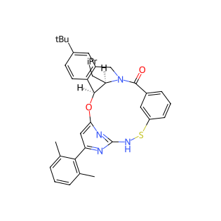 Cc1cccc(C)c1-c1cc2nc(n1)NSc1cccc(c1)C(=O)N1Cc3cc(C(C)(C)C)ccc3[C@H](O2)[C@H]1CC(C)C